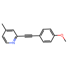 COc1ccc(C#Cc2cc(C)ccn2)cc1